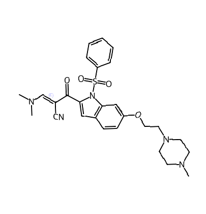 CN(C)/C=C(\C#N)C(=O)c1cc2ccc(OCCN3CCN(C)CC3)cc2n1S(=O)(=O)c1ccccc1